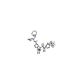 C=N/C=C(\C=C(/C)c1ccc2[nH]nc(C(=O)Nc3ccc(S(=O)(=O)C(C)C)nc3)c2c1)CN1CCCCCC1